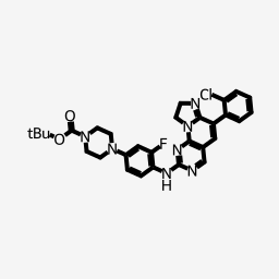 CC(C)(C)OC(=O)N1CCN(c2ccc(Nc3ncc4c(n3)N3CCN=C3C(c3ccccc3Cl)=C4)c(F)c2)CC1